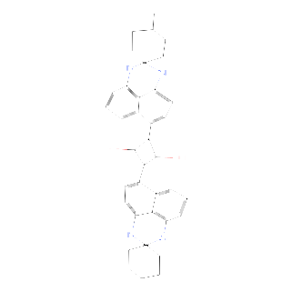 CC1CCC2(CC1)Nc1cccc3c(C4C(O)C(c5ccc6c7c(cccc57)NC5(CCCCC5)N6)C4O)ccc(c13)N2